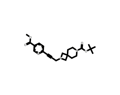 COC(=O)c1ccc(C#CCN2CC3(CCN(C(=O)OC(C)(C)C)CC3)C2)nc1